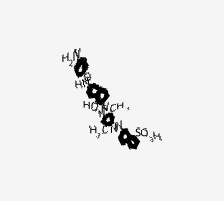 Cc1cc(N=Nc2ccc3cc(NOc4ccc(N)cc4)ccc3c2O)c(C)cc1N=Nc1ccc2cccc(S(=O)(=O)O)c2c1